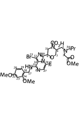 COC(=O)CN(CC1COC(c2nc(Br)c3c(NCc4ccc(OC)cc4OC)ncc(F)n23)CN1C(=O)O)C(C)C